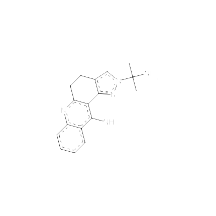 CC(C)(N)n1cc2c(n1)-c1c(nc3ccccc3c1N)CC2